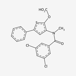 CN(C(=O)c1cc(Cl)cc(Cl)c1)c1cc(-c2ccccc2)sc1OC(=O)O